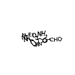 CCc1nnnn1-c1cccc(C2Nc3ccc([C]=O)cc3CC2(C)C(N)=O)c1